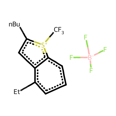 CCCCc1cc2c(CC)cccc2[s+]1C(F)(F)F.F[B-](F)(F)F